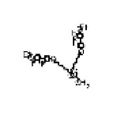 C=CC1COC(CCCCCCCOc2ccc(-c3ccc(OCC)c(F)c3F)c(F)c2)(CCCCCCCOc2ccc(-c3ccc(OCC)c(F)c3F)c(F)c2)OC1